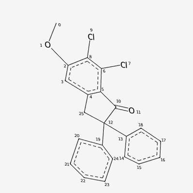 COc1cc2c(c(Cl)c1Cl)C(=O)C(c1ccccc1)(c1ccccc1)C2